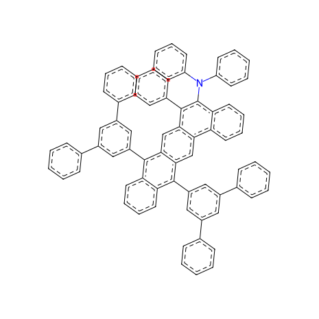 c1ccc(-c2cc(-c3ccccc3)cc(-c3c4ccccc4c(-c4cc(-c5ccccc5)cc(-c5ccccc5)c4)c4cc5c(cc34)c(-c3ccccc3)c(N(c3ccccc3)c3ccccc3)c3ccccc35)c2)cc1